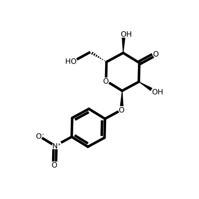 O=C1[C@@H](O)[C@@H](Oc2ccc([N+](=O)[O-])cc2)O[C@H](CO)[C@H]1O